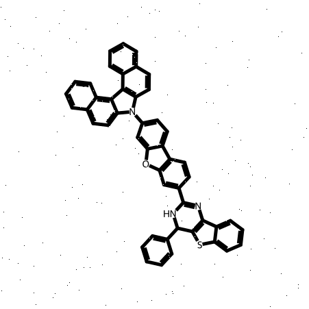 c1ccc(C2NC(c3ccc4c(c3)oc3cc(-n5c6ccc7ccccc7c6c6c7ccccc7ccc65)ccc34)=Nc3c2sc2ccccc32)cc1